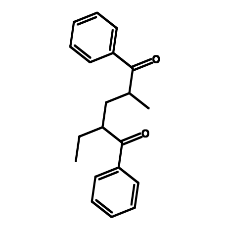 CCC(CC(C)C(=O)c1ccccc1)C(=O)c1ccccc1